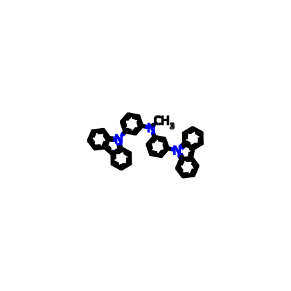 CN(c1cccc(-n2c3ccccc3c3ccccc32)c1)c1cccc(-n2c3ccccc3c3ccccc32)c1